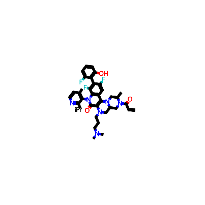 C=CC(=O)N1CC2CN(CCCN(C)C)c3c(c4cc(F)c(-c5c(O)cccc5F)c(F)c4n(-c4c(C)ccnc4C(C)C)c3=O)N2CC1C